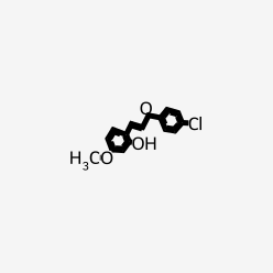 COc1ccc(C=CC(=O)c2ccc(Cl)cc2)c(O)c1